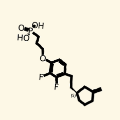 C=C1CCC[C@@H](CCc2ccc(OCCCP(=O)(O)O)c(F)c2F)C1